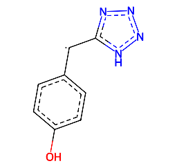 Oc1ccc([CH]c2nnn[nH]2)cc1